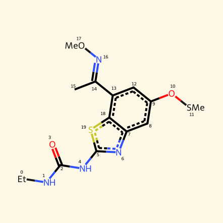 CCNC(=O)Nc1nc2cc(OSC)cc(/C(C)=N/OC)c2s1